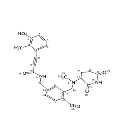 Cc1c(O)cccc1C#CC(=O)NCc1ccc(C=O)c(CN(C)C2CCC(=O)NC2=O)c1